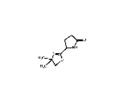 CC1(C)COC(C2CCC(=O)N2)=N1